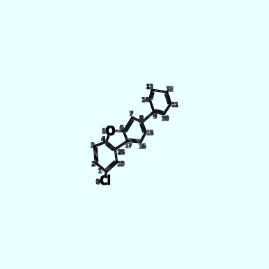 Clc1ccc2oc3cc(-c4ccccc4)ccc3c2c1